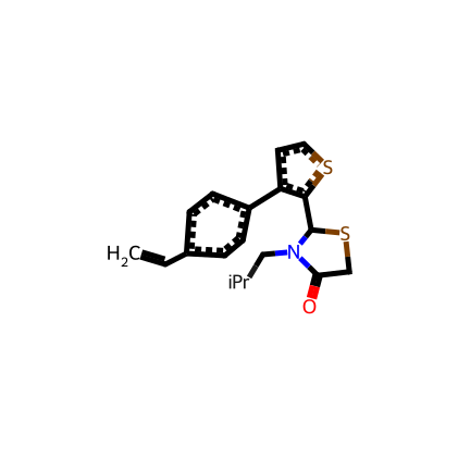 C=Cc1ccc(-c2ccsc2C2SCC(=O)N2CC(C)C)cc1